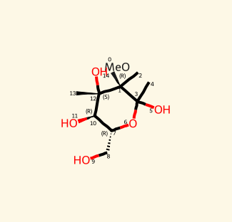 CO[C@@]1(C)C(C)(O)O[C@H](CO)[C@@H](O)[C@]1(C)O